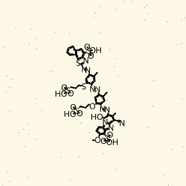 COc1ccc2c(nc3c(C#N)c(C)c(N=Nc4cc(C)c(N=Nc5cc(C)c(N=Nc6nc7c(S(=O)(=O)O)cc8ccccc8c7s6)cc5SCCCS(=O)(=O)O)cc4OCCCS(=O)(=O)O)c(O)n32)c1S(=O)(=O)O